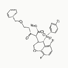 COC(=O)C(C(=O)CCOCc1ccccc1)C1COc2c(F)ccc(F)c2C1S(=O)(=O)c1ccc(Cl)cc1